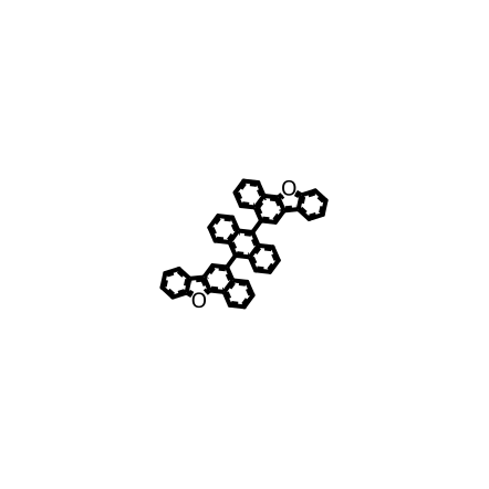 c1ccc2c(c1)oc1c3ccccc3c(-c3c4ccccc4c(-c4cc5c6ccccc6oc5c5ccccc45)c4ccccc34)cc21